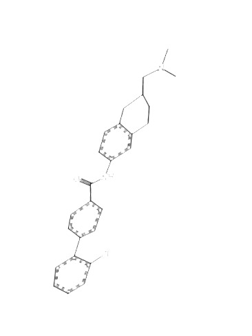 CN(C)CC1CCc2cc(NC(=O)c3ccc(-c4ccccc4Cl)cc3)ccc2C1